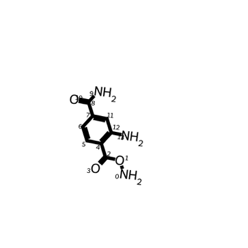 NOC(=O)c1ccc(C(N)=O)cc1N